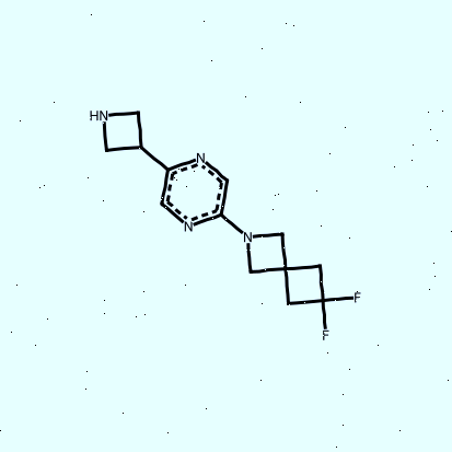 FC1(F)CC2(CN(c3cnc(C4CNC4)cn3)C2)C1